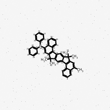 Cc1cc2c(c3ccccc13)-c1cc3c(cc1C2(C)C)-c1c(cc(N(c2ccccc2)c2ccccc2)c2ccccc12)C3(C)C